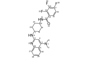 CN(C)c1cc(NC2CCC(NC(=O)c3ccc(F)c(F)c3F)CC2)nc2ccccc12